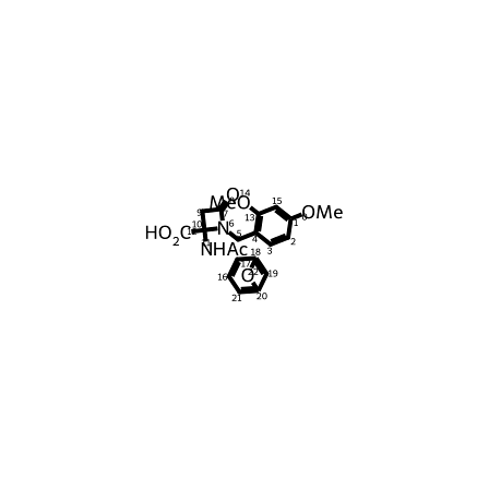 COc1ccc(CN2C(=O)CC2(NC(C)=O)C(=O)O)c(OC)c1.c1cc2cc(c1)O2